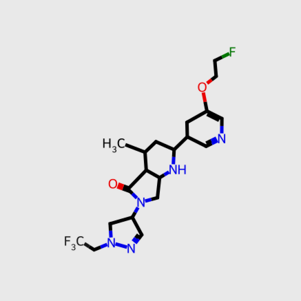 CC1CC(C2C=NC=C(OCCF)C2)NC2CN(C3C=NN(CC(F)(F)F)C3)C(=O)C12